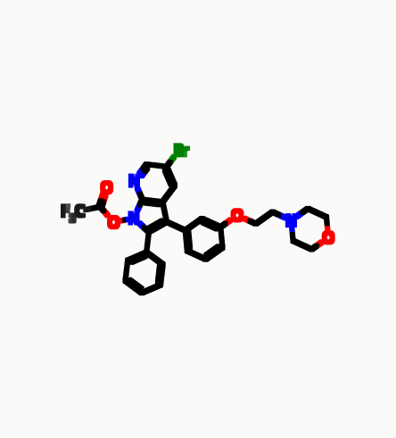 O=C(On1c(-c2ccccc2)c(-c2cccc(OCCN3CCOCC3)c2)c2cc(Br)cnc21)C(F)(F)F